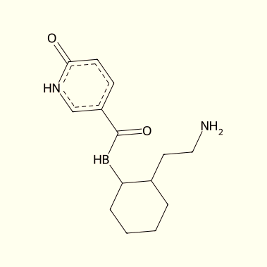 NCCC1CCCCC1BC(=O)c1ccc(=O)[nH]c1